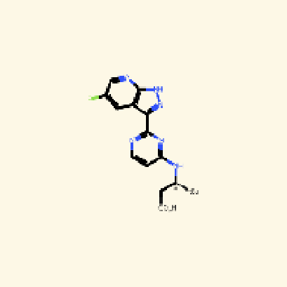 CC(C)(C)[C@@H](CC(=O)O)Nc1ccnc(-c2n[nH]c3ncc(F)cc23)n1